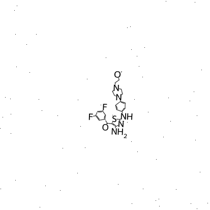 COCCN1CCN(c2ccc(Nc3nc(N)c(C(=O)c4cc(F)cc(F)c4)s3)cc2)CC1